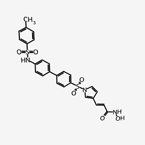 Cc1ccc(S(=O)(=O)Nc2ccc(-c3ccc(S(=O)(=O)n4ccc(/C=C/C(=O)NO)c4)cc3)cc2)cc1